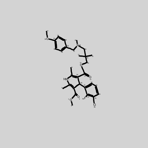 COC(=O)C1=C(C)NC(C)=C(C(=O)OCC(C)(C)CN(C)Cc2ccc(OC)cc2)C1c1cccc(Cl)c1F